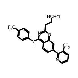 Cl.OCCc1nc(Nc2ccc(C(F)(F)F)cc2)c2ccc(-c3ncccc3C(F)(F)F)cc2n1